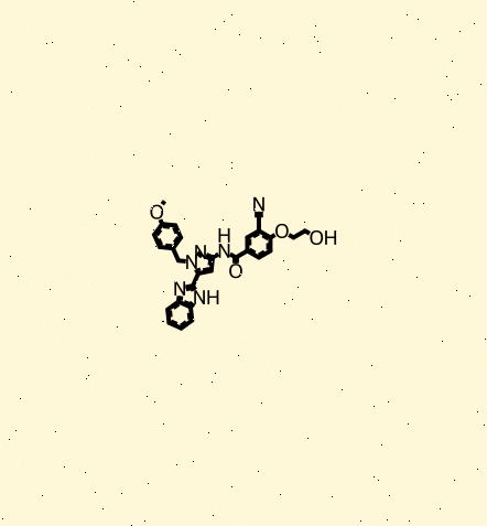 COc1ccc(Cn2nc(NC(=O)c3ccc(OCCO)c(C#N)c3)cc2-c2nc3ccccc3[nH]2)cc1